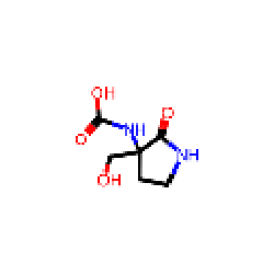 O=C(O)NC1(CO)CCNC1=O